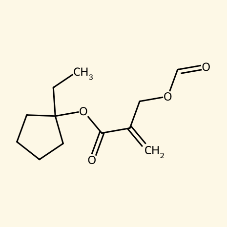 C=C(COC=O)C(=O)OC1(CC)CCCC1